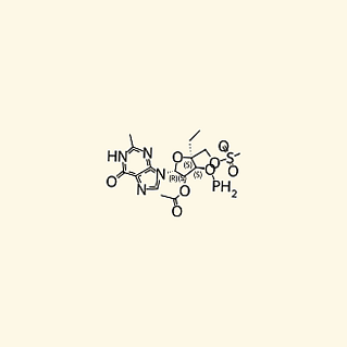 CC[C@@]1(COS(C)(=O)=O)O[C@@H](n2cnc3c(=O)[nH]c(C)nc32)[C@@H](OC(C)=O)[C@@H]1OP